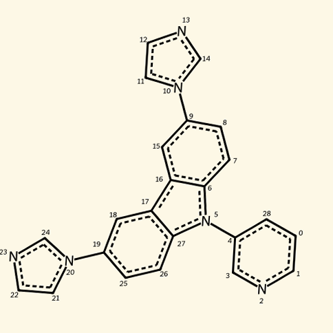 c1cncc(-n2c3ccc(-n4ccnc4)cc3c3cc(-n4ccnc4)ccc32)c1